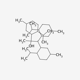 CC1CCC(C(C)C)C([C](C2CC(C)CCC2C(C)C)C(C)(O)C2CC(C)CCC2C(C)C)C1